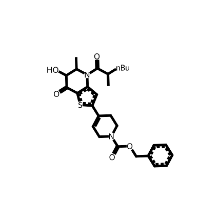 CCCCC(C)C(=O)N1c2cc(C3=CCN(C(=O)OCc4ccccc4)CC3)sc2C(=O)C(O)C1C